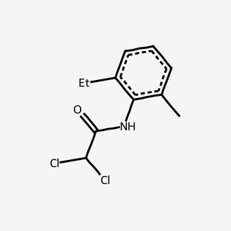 CCc1cccc(C)c1NC(=O)C(Cl)Cl